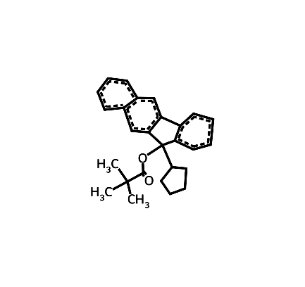 CC(C)(C)C(=O)OC1(C2CCCC2)c2ccccc2-c2cc3ccccc3cc21